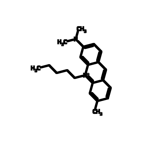 CCCCC[n+]1c2cc(C)ccc2cc2ccc(N(C)C)cc21